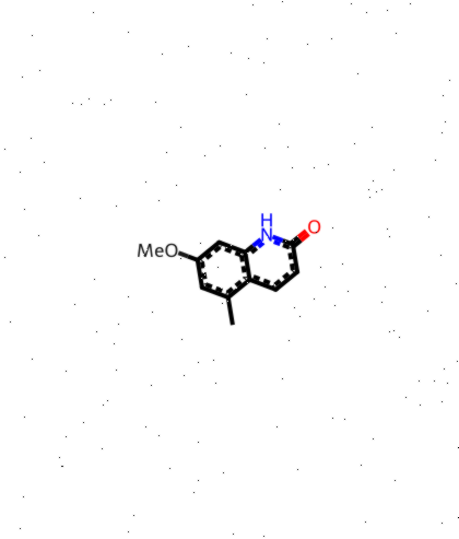 COc1cc(C)c2ccc(=O)[nH]c2c1